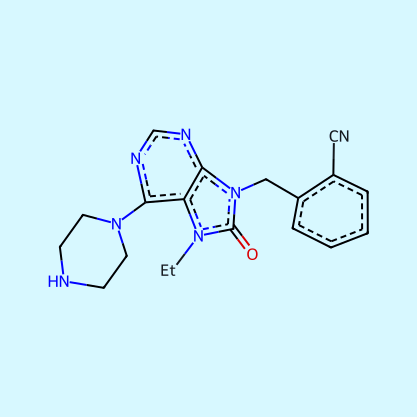 CCn1c(=O)n(Cc2ccccc2C#N)c2ncnc(N3CCNCC3)c21